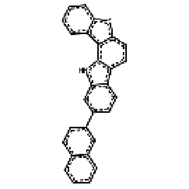 c1ccc2cc(-c3ccc4c(c3)[nH]c3c4ccc4sc5ccccc5c43)ccc2c1